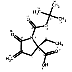 C=C1C[C@@](CC)(C(=O)O)N(C(=O)OC(C)(C)C)C1=O